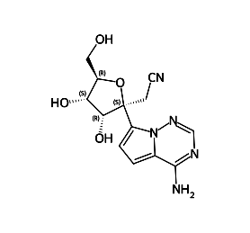 N#CC[C@@]1(c2ccc3c(N)ncnn23)O[C@H](CO)[C@@H](O)[C@H]1O